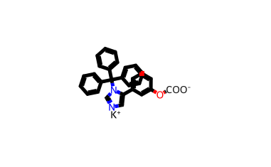 O=C([O-])Oc1cccc(-c2cncn2C(c2ccccc2)(c2ccccc2)c2ccccc2)c1.[K+]